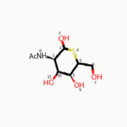 CC(=O)N[C@H]1C(O)SC(CO)[C@@H](O)C1O